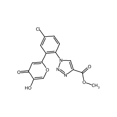 COC(=O)c1cn(-c2ccc(Cl)cc2-c2cc(=O)c(O)co2)nn1